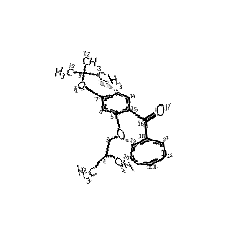 CC(O)COc1cc(OC(C)(C)C)ccc1C(=O)c1ccccc1